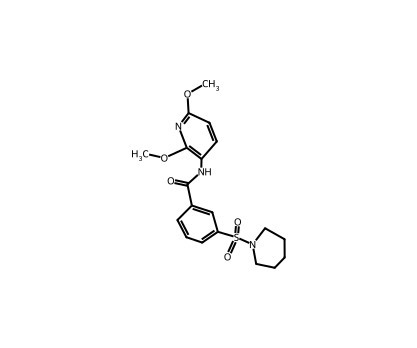 COc1ccc(NC(=O)c2cccc(S(=O)(=O)N3CCCCC3)c2)c(OC)n1